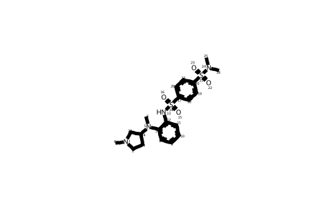 CN1CCC(N(C)c2ccccc2NS(=O)(=O)c2ccc(S(=O)(=O)N(C)C)cc2)C1